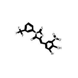 O=C1C(=Cc2cc(Br)c(O)c([N+](=O)[O-])c2)SC(=S)N1c1cccc(C(F)(F)F)c1